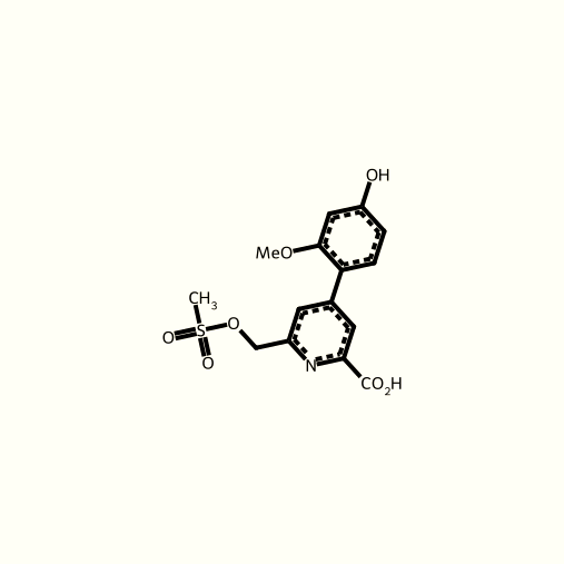 COc1cc(O)ccc1-c1cc(COS(C)(=O)=O)nc(C(=O)O)c1